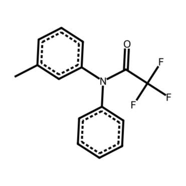 Cc1cccc(N(C(=O)C(F)(F)F)c2ccccc2)c1